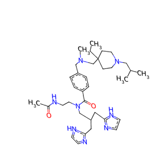 CCC1(CN(C)Cc2ccc(C(=O)N(CCNC(C)=O)CC(Cc3ncc[nH]3)Cc3ncc[nH]3)cc2)CCN(CC(C)C)CC1